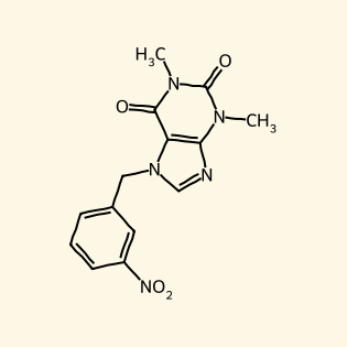 Cn1c(=O)c2c(ncn2Cc2cccc([N+](=O)[O-])c2)n(C)c1=O